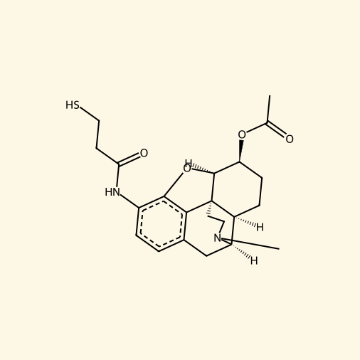 CC(=O)O[C@H]1CC[C@H]2[C@H]3Cc4ccc(NC(=O)CCS)c5c4[C@@]2(CCN3C)[C@H]1O5